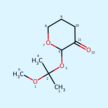 COC(C)(C)OC1OCCCC1=O